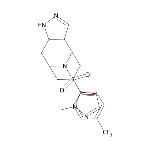 Cn1nccc1C1CC2Cc3[nH]ncc3C(C1)N2S(=O)(=O)c1ccc(C(F)(F)F)cc1